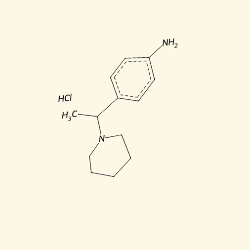 CC(c1ccc(N)cc1)N1CCCCC1.Cl